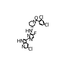 O=C(c1ccc(Cl)cc1Cl)N1CCC[C@@H](CNc2nc(-c3c[nH]c4ncc(Cl)cc34)ncc2F)C1